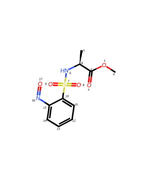 COC(=O)[C@H](C)NS(=O)(=O)c1ccccc1N=O